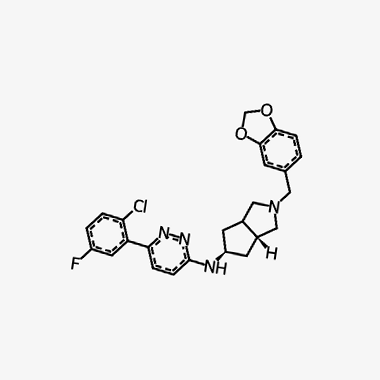 Fc1ccc(Cl)c(-c2ccc(N[C@H]3CC4CN(Cc5ccc6c(c5)OCO6)C[C@@H]4C3)nn2)c1